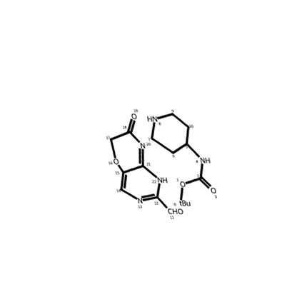 CC(C)(C)OC(=O)NC1CCNCC1.O=CC1=NC=C2OCC(=O)N=C2N1